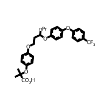 CCCC(CCOc1ccc(OC(C)(C)C(=O)O)cc1)Oc1ccc(Oc2ccc(C(F)(F)F)cc2)cc1